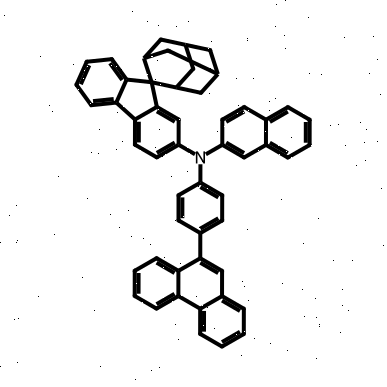 c1ccc2c(c1)-c1ccc(N(c3ccc(-c4cc5ccccc5c5ccccc45)cc3)c3ccc4ccccc4c3)cc1C21C2CC3CC(C2)CC1C3